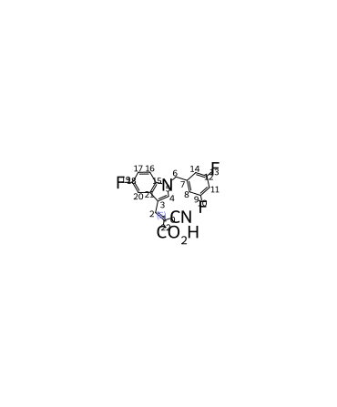 N#C/C(=C\c1cn(Cc2cc(F)cc(F)c2)c2ccc(F)cc12)C(=O)O